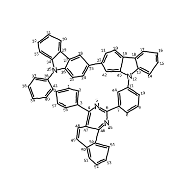 c1ccc(-c2nc(-c3cccc(-n4c5ccccc5c5ccc(-c6ccc7c(c6)c6ccccc6n7-c6ccccc6)cc54)c3)nc3c2ccc2ccccc23)cc1